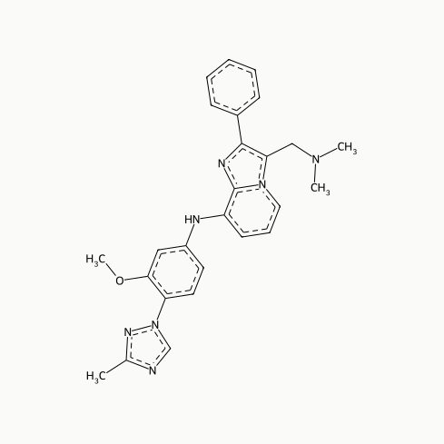 COc1cc(Nc2cccn3c(CN(C)C)c(-c4ccccc4)nc23)ccc1-n1cnc(C)n1